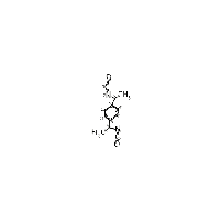 CC(N=C=O)c1ccc(C(C)N=C=O)cc1